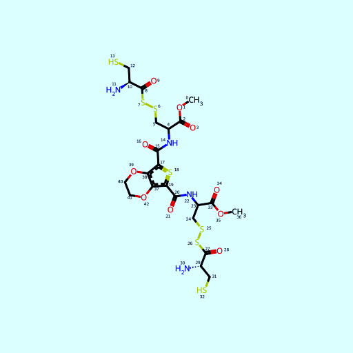 COC(=O)C(CSSC(=O)[C@@H](N)CS)NC(=O)c1sc(C(=O)NC(CSSC(=O)[C@@H](N)CS)C(=O)OC)c2c1OCCO2